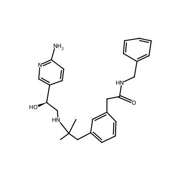 CC(C)(Cc1cccc(CC(=O)NCc2ccccc2)c1)NC[C@@H](O)c1ccc(N)nc1